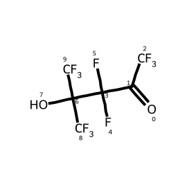 O=C(C(F)(F)F)C(F)(F)C(O)(C(F)(F)F)C(F)(F)F